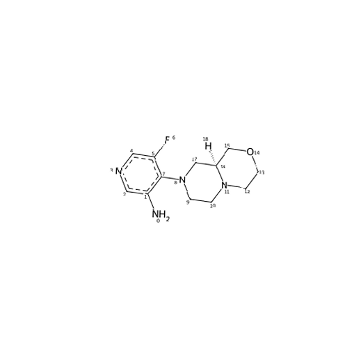 Nc1cncc(F)c1N1CCN2CCOC[C@@H]2C1